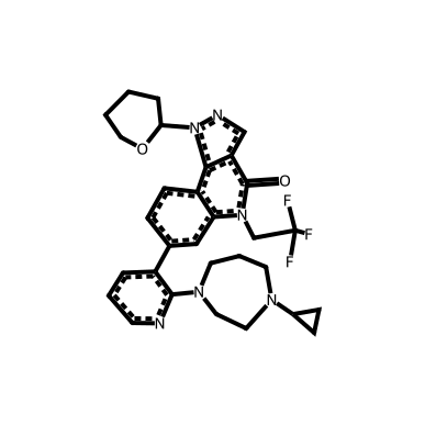 O=c1c2cnn(C3CCCCO3)c2c2ccc(-c3cccnc3N3CCCN(C4CC4)CC3)cc2n1CC(F)(F)F